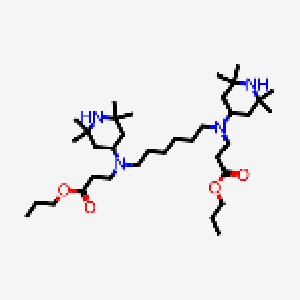 CCCOC(=O)CCN(CCCCCCN(CCC(=O)OCCC)C1CC(C)(C)NC(C)(C)C1)C1CC(C)(C)NC(C)(C)C1